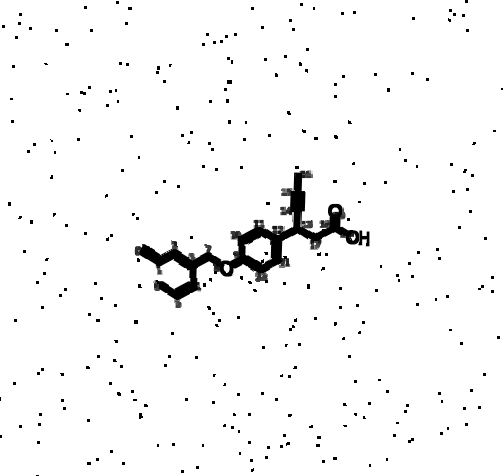 C=C/C=C(\C=C/C)COc1ccc(C(C#CC)CC(=O)O)cc1